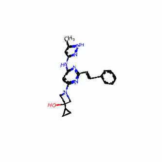 Cc1cc(Nc2cc(N3CC(O)(C4CC4)C3)nc(C=Cc3ccccc3)n2)n[nH]1